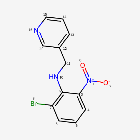 O=[N+]([O-])c1cccc(Br)c1NCc1cccnc1